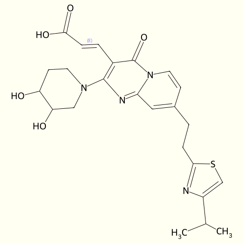 CC(C)c1csc(CCc2ccn3c(=O)c(/C=C/C(=O)O)c(N4CCC(O)C(O)C4)nc3c2)n1